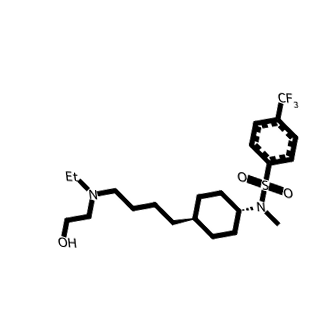 CCN(CCO)CCCC[C@H]1CC[C@H](N(C)S(=O)(=O)c2ccc(C(F)(F)F)cc2)CC1